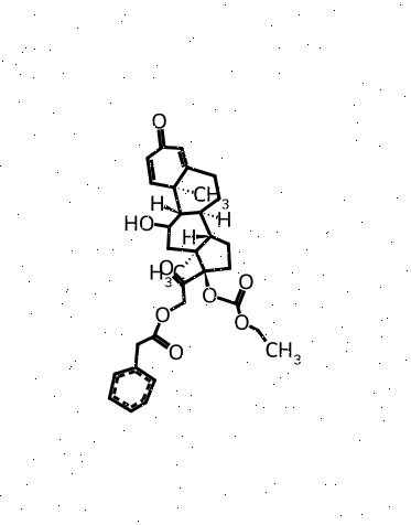 CCOC(=O)O[C@]1(C(=O)COC(=O)Cc2ccccc2)CC[C@H]2[C@@H]3CCC4=CC(=O)C=C[C@]4(C)[C@H]3C(O)C[C@@]21C